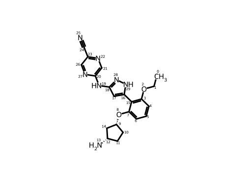 CCOc1cccc(O[C@@H]2CC[C@H](N)C2)c1-c1cc(Nc2cnc(C#N)cn2)n[nH]1